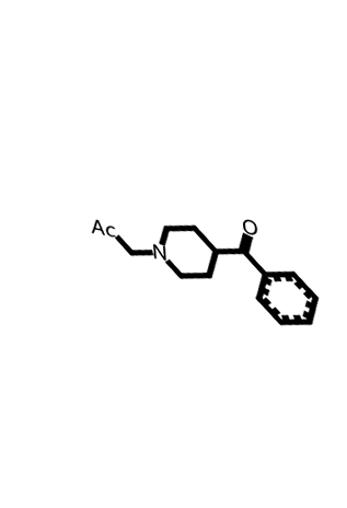 CC(=O)CN1CCC(C(=O)c2ccccc2)CC1